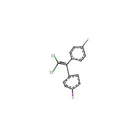 ClC(Cl)=C(c1ccc(I)cc1)c1ccc(I)cc1